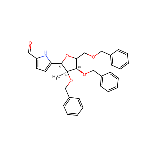 C[C@]1(OCc2ccccc2)[C@@H](c2ccc(C=O)[nH]2)OC(COCc2ccccc2)[C@H]1OCc1ccccc1